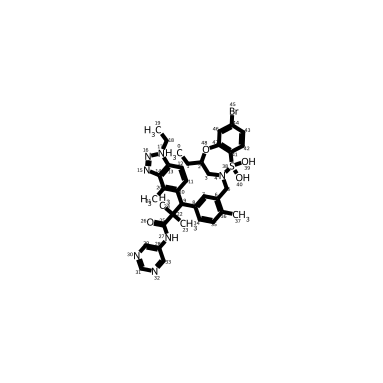 CCC1CN(Cc2cc(C(c3ccc4c(nnn4CC)c3C)C(C)(C)C(=O)Nc3cncnc3)ccc2C)S(O)(O)c2ccc(Br)cc2O1